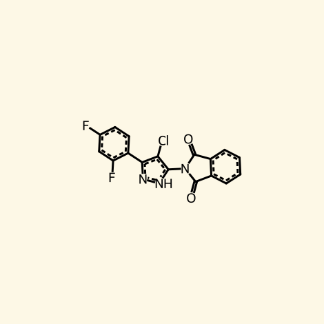 O=C1c2ccccc2C(=O)N1c1[nH]nc(-c2ccc(F)cc2F)c1Cl